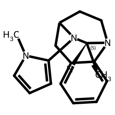 C[C@H]1N2CCC(Cc3ccccc32)N1c1cccn1C